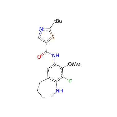 COc1c(NC(=O)c2cnc(C(C)(C)C)s2)cc2c(c1F)NCCCC2